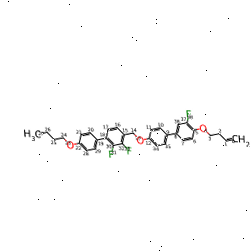 C=CCCOc1ccc(-c2ccc(OCc3ccc(-c4ccc(OCCCC)cc4)c(F)c3F)cc2)cc1F